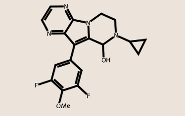 COc1c(F)cc(-c2c3n(c4nccnc24)CCN(C2CC2)C3O)cc1F